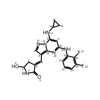 O=C1NC(O)C/C1=C\c1cnn2c(NC3CC3)cc(Nc3cccc(F)c3F)nc12